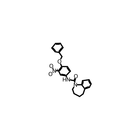 O=C(Nc1ccc(OCc2ccccc2)c([N+](=O)[O-])c1)N1CCCCc2ccccc21